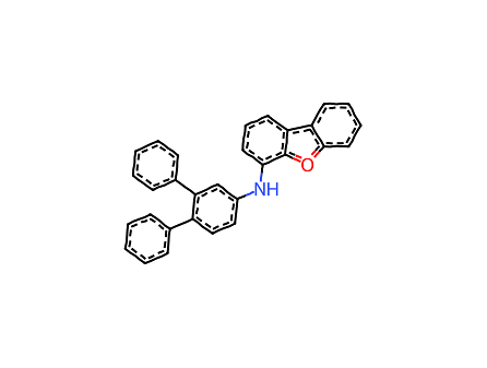 c1ccc(-c2ccc(Nc3cccc4c3oc3ccccc34)cc2-c2ccccc2)cc1